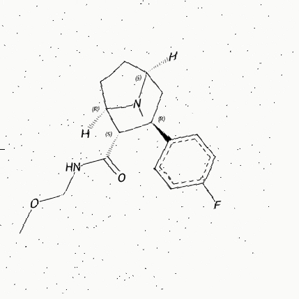 COCNC(=O)[C@@H]1[C@H]2CC[C@@H](C[C@H]1c1ccc(F)cc1)N2C